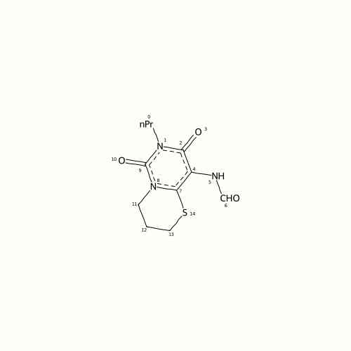 CCCn1c(=O)c(NC=O)c2n(c1=O)CCCS2